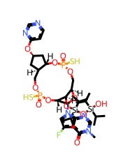 CC(C)[Si](O)(O[Si](O[C@H]1[C@H]2OP(=O)(S)OC[C@H]3C[C@@H](Oc4ccncn4)C[C@@H]3OP(=O)(S)OC[C@H]1O[C@H]2n1cc(F)c2c(=O)n(C)cnc21)(C(C)C)C(C)C)C(C)C